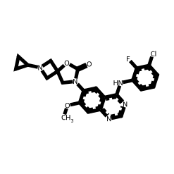 COc1cc2ncnc(Nc3cccc(Cl)c3F)c2cc1N1CC2(CN(C3CC3)C2)OC1=O